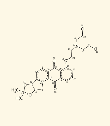 CC1(C)OC2Cc3c(ccc4c3C(=O)c3cccc(OCCN(CCCl)CCCl)c3C4=O)C2O1